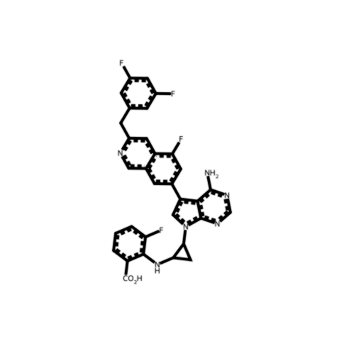 Nc1ncnc2c1c(-c1cc(F)c3cc(Cc4cc(F)cc(F)c4)ncc3c1)cn2C1CC1Nc1c(F)cccc1C(=O)O